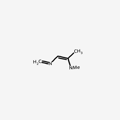 C=N/C=C(/C)NC